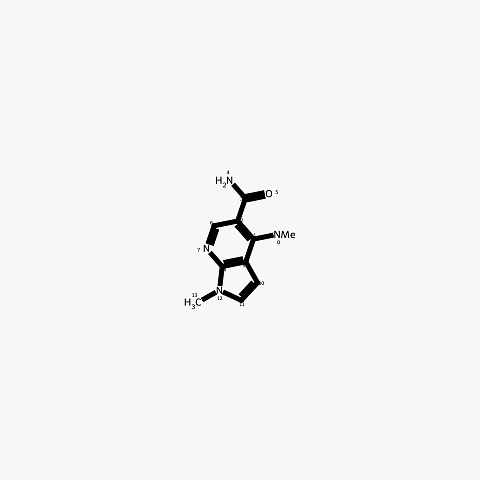 CNc1c(C(N)=O)cnc2c1ccn2C